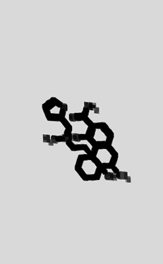 C[C@@H]1Cc2ccc(C(N)=O)c(O)c2[C@@]2(CCN(C)Cc3ccco3)CCCC[C@@]12O